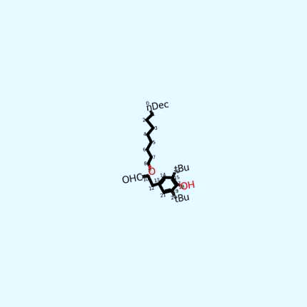 CCCCCCCCCCCCCCCCCCOC(C=O)Cc1cc(C(C)(C)C)c(O)c(C(C)(C)C)c1